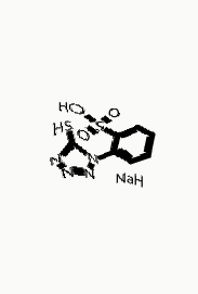 O=S(=O)(O)c1ccccc1-n1nnnc1S.[NaH]